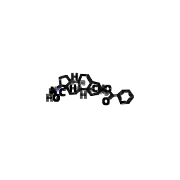 C[C@]12CC[C@H](OC(=O)c3ccccc3)CC1=CC[C@@H]1[C@@H]2CC[C@]2(C)/C(=N\O)CC[C@@H]12